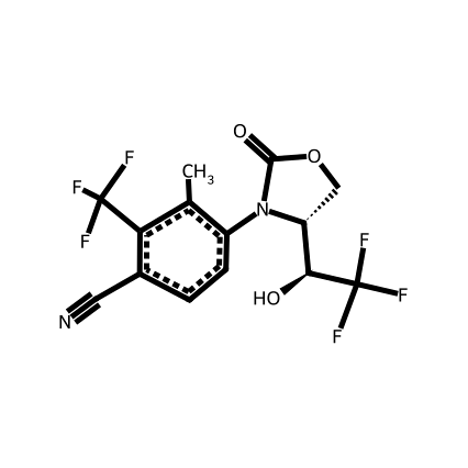 Cc1c(N2C(=O)OC[C@@H]2[C@H](O)C(F)(F)F)ccc(C#N)c1C(F)(F)F